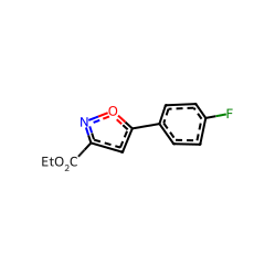 CCOC(=O)c1cc(-c2ccc(F)cc2)on1